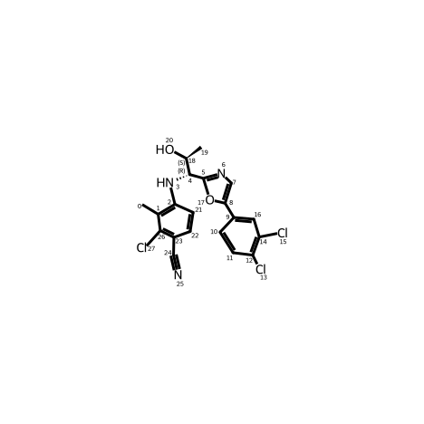 Cc1c(N[C@@H](c2ncc(-c3ccc(Cl)c(Cl)c3)o2)[C@H](C)O)ccc(C#N)c1Cl